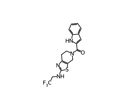 O=C(c1cc2ccccc2[nH]1)N1CCc2nc(NCC(F)(F)F)sc2C1